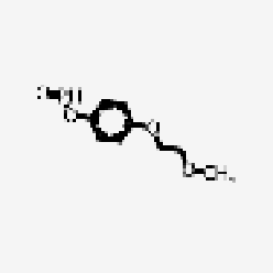 COCCOc1ccc(O[PH]=O)cc1